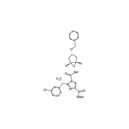 CNC(=O)c1cc(C(=O)N[C@@H]2[C@@H]3C[C@H](OCc4ccccc4)C[C@@H]32)n([C@@H](C)c2cccc(Cl)c2)n1